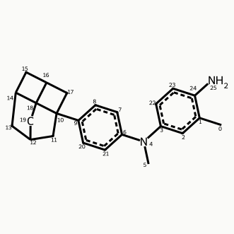 Cc1cc(N(C)c2ccc(C34CC5CC6CC(C3)C64C5)cc2)ccc1N